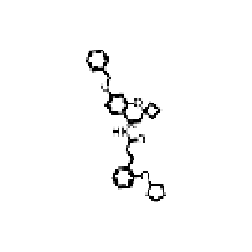 O=C(CCc1ccccc1OC1CCCC1)N[C@H]1CC2(CCC2)Oc2cc(OCc3ccccc3)ccc21